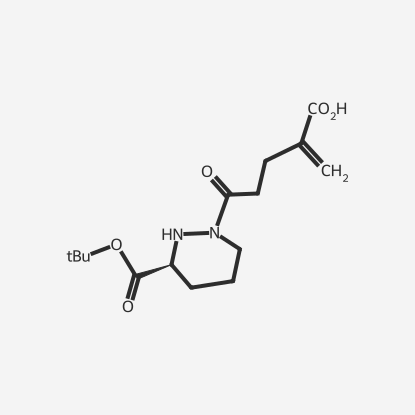 C=C(CCC(=O)N1CCC[C@@H](C(=O)OC(C)(C)C)N1)C(=O)O